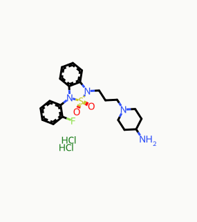 Cl.Cl.NC1CCN(CCCN2c3ccccc3N(c3ccccc3F)S2(=O)=O)CC1